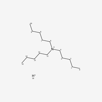 CCCCCN(CCCCC)CCCCC.[H+]